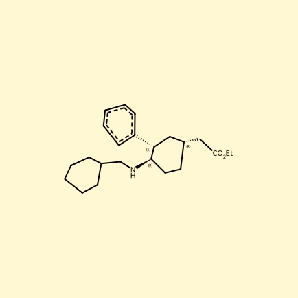 CCOC(=O)C[C@@H]1CC[C@@H](NCC2CCCCC2)[C@H](c2ccccc2)C1